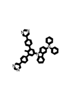 Cc1c(-c2ccc(-c3cncnc3)cc2)cc(-n2c3ccccc3c3cc(N(c4ccccc4)c4ccccc4)ccc32)cc1-c1ccc(-c2cncnc2)cc1